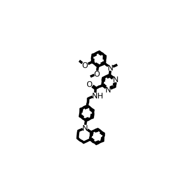 COc1cccc(N(C)c2cc(C(=O)NCc3ccc(N4CCCc5ccccc54)cc3)ncn2)c1OC